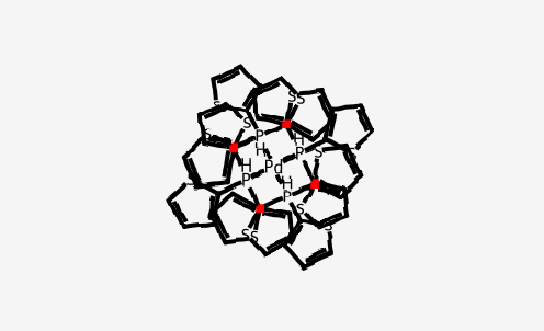 c1csc([PH](c2cccs2)(c2cccs2)[Pd]([PH](c2cccs2)(c2cccs2)c2cccs2)([PH](c2cccs2)(c2cccs2)c2cccs2)[PH](c2cccs2)(c2cccs2)c2cccs2)c1